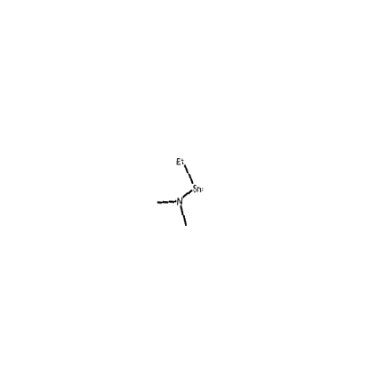 C[CH2][Sn][N](C)C